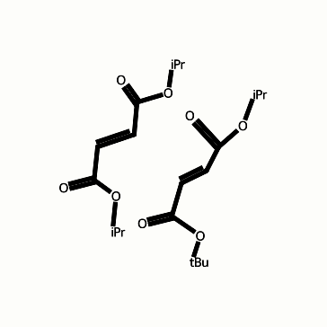 CC(C)OC(=O)C=CC(=O)OC(C)(C)C.CC(C)OC(=O)C=CC(=O)OC(C)C